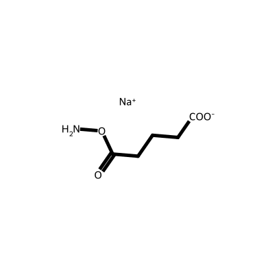 NOC(=O)CCCC(=O)[O-].[Na+]